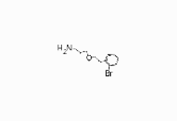 NCCCOCCc1ccccc1Br